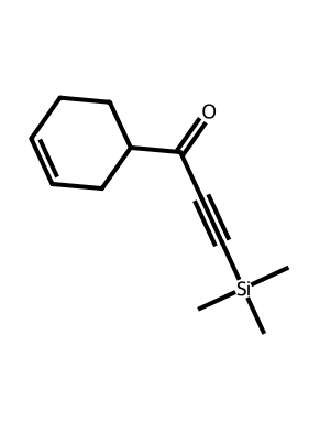 C[Si](C)(C)C#CC(=O)C1CC=CCC1